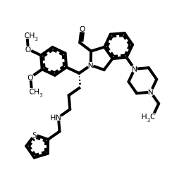 CCN1CCN(c2cccc3c2CN([C@H](CCCNCc2cccs2)c2ccc(OC)c(OC)c2)C3C=O)CC1